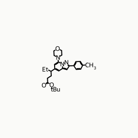 CCC(CCC(=O)OC(C)(C)C)c1cc(N2CCOCC2)n2nc(-c3ccc(C)cc3)cc2c1